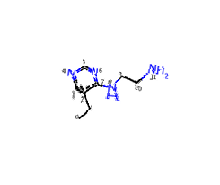 CCc1cncnc1NCCN